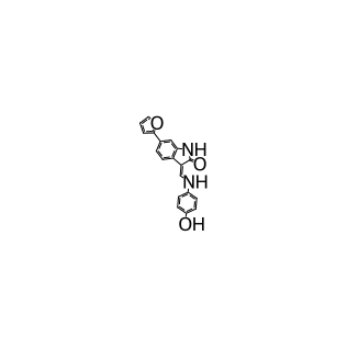 O=C1Nc2cc(-c3ccco3)ccc2/C1=C/Nc1ccc(O)cc1